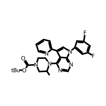 CC1CN(C(=O)OC(C)(C)C)CCN1c1ncnc2c1c(-c1ccccn1)cn2-c1cc(F)cc(F)c1